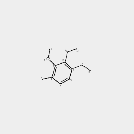 CCc1ccc(C)c(OC)c1CC